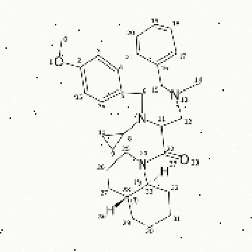 COc1ccc(CN(C2CC2)C(CN(C)Cc2ccccc2)C(=O)N2CCC[C@H]3CCCC[C@@H]32)cc1